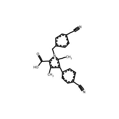 Cc1c(-c2ccc(C#N)cc2)c(C)n(Cc2ccc(C#N)cc2)c1C(=O)O